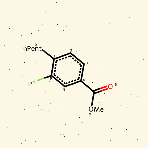 CCCCCc1ccc(C(=O)OC)cc1F